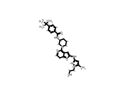 Cc1cc(NC2=CC3=C(N4CCC[C@H](NC(=O)c5ccc(C(C)(C)C)cc5)C4)N=CCC3=N2)nn1CCO